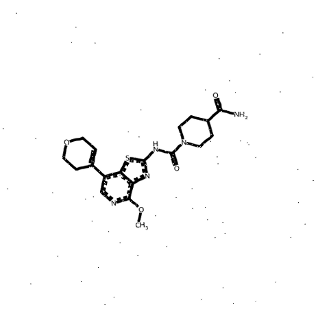 COc1ncc(C2=CCOCC2)c2sc(NC(=O)N3CCC(C(N)=O)CC3)nc12